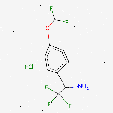 Cl.NC(c1ccc(OC(F)F)cc1)C(F)(F)F